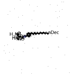 CCCCCCCCCCCCCCCCCCCCCCc1ccc(/C=C/C(=O)Oc2nc[nH]c2C(N)=O)cc1